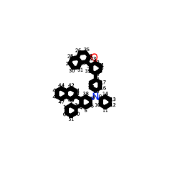 c1ccc(-c2ccc(N(c3ccccc3)c3ccc(-c4ccc5oc6ccc7ccccc7c6c5c4)cc3)cc2-c2ccc3ccccc3c2)cc1